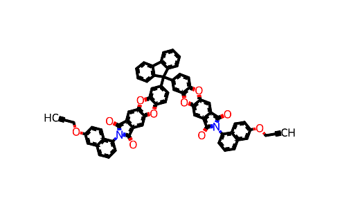 C#CCOc1ccc2c(-n3c(=O)c4cc5oc6ccc(C7(c8ccc9oc%10cc%11c(=O)n(-c%12cccc%13cc(OCC#C)ccc%12%13)c(=O)c%11cc%10oc9c8)c8ccccc8-c8ccccc87)cc6oc5cc4c3=O)cccc2c1